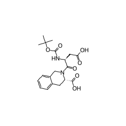 CC(C)(C)OC(=O)N[C@@H](CC(=O)O)C(=O)N1Cc2ccccc2C[C@H]1C(=O)O